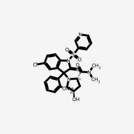 COc1ccccc1C1(N2C[C@H](O)C[C@H]2C(=O)N(C)C)C(=O)N(S(=O)(=O)c2cccnc2)c2ccc(Cl)cc21